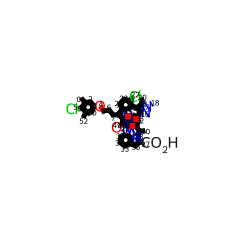 Cc1cc(OCCCc2c3n(c4c(-c5c(C)nn(C)c5C)c(Cl)ccc24)[C@H](C)CN(c2cccc4cc(C(=O)O)n(C(C)c5ccccn5)c24)C3=O)cc(C)c1Cl